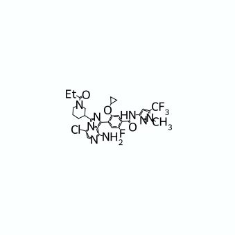 CCC(=O)N1CCCC(c2nc(-c3cc(F)c(C(=O)Nc4cc(C(F)(F)F)n(C)n4)cc3OC3CC3)c3c(N)ncc(Cl)n23)C1